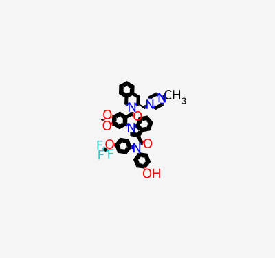 CN1CCN(C[C@@H]2Cc3ccccc3CN2C(=O)c2cc3c(cc2-n2cc(C(=O)N(c4ccc(O)cc4)c4ccc(OC(F)(F)F)cc4)c4ccccc42)OCO3)CC1